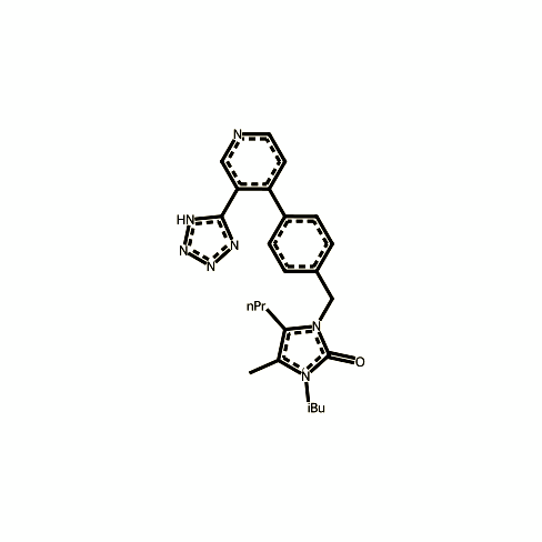 CCCc1c(C)n(C(C)CC)c(=O)n1Cc1ccc(-c2ccncc2-c2nnn[nH]2)cc1